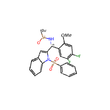 COc1cc(F)c(F)cc1[C@@H](N[S+]([O-])C(C)(C)C)c1cc2ccccc2n1S(=O)(=O)c1ccccc1